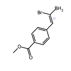 B/C(Br)=C/c1ccc(C(=O)OC)cc1